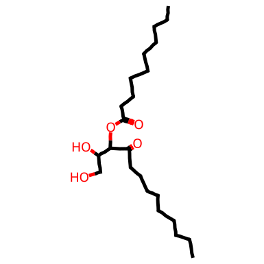 CCCCCCCCCC(=O)OC(C(=O)CCCCCCCCC)C(O)CO